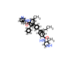 CCC[C@]12CC3CC(C(=O)NC4CCNCC4C)(C1)C[C@@](c1ccc(C45CC6(C(=O)N[C@@H]7CN8CCC7CC8)C[C@](C)(C4)C[C@@](c4ccccc4)(C6)C5)cc1)(C3)C2